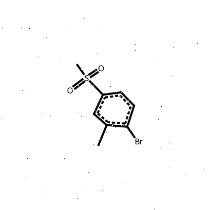 Cc1cc(S(C)(=O)=O)ccc1Br